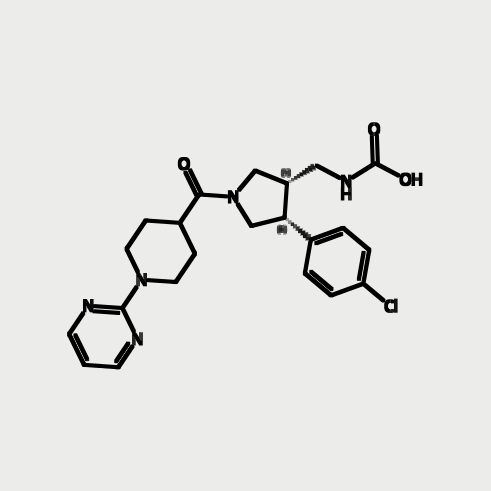 O=C(O)NC[C@H]1CN(C(=O)C2CCN(c3ncccn3)CC2)C[C@H]1c1ccc(Cl)cc1